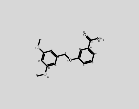 COc1cc(COc2cccc(C(N)=O)c2)cc(OC)c1